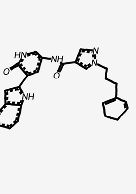 O=C(Nc1c[nH]c(=O)c(-c2cc3ccccc3[nH]2)c1)c1cnn(CCCC2=CCCC=C2)c1